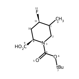 CC1CN(C(=O)OC(C)(C)C)[C@@H](C(=O)O)C[C@H]1F